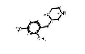 Cc1nc(C(F)(F)F)ccc1CC1CNCCO1